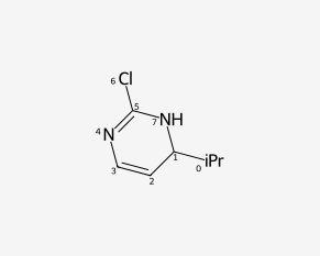 CC(C)C1C=CN=C(Cl)N1